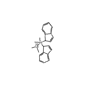 [CH3][GeH]([CH3])[Hf]([CH3])([CH3])([CH]1C=Cc2ccccc21)[CH]1C=Cc2ccccc21